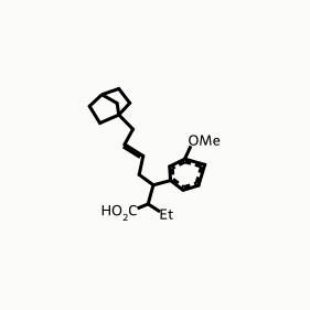 CCC(C(=O)O)C(CC=CCC12CCC(CC1)C2)c1cccc(OC)c1